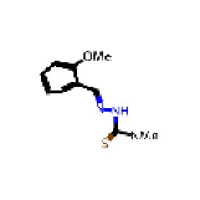 CNC(=S)N/N=C/c1ccccc1OC